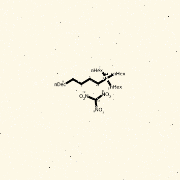 CCCCCCCCCCCCCC[PH](CCCCCC)(CCCCCC)CCCCCC.O=[N+]([O-])C([N+](=O)[O-])[N+](=O)[O-]